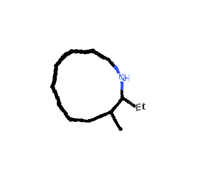 CCC1NCCCCCCCCC1C